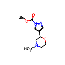 CC(C)(C)OC(=O)n1cc(C2CN(C(=O)O)CCO2)cn1